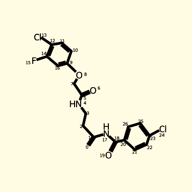 C=C(CCNC(=O)COc1ccc(Cl)c(F)c1)NC(=O)c1ccc(Cl)cc1